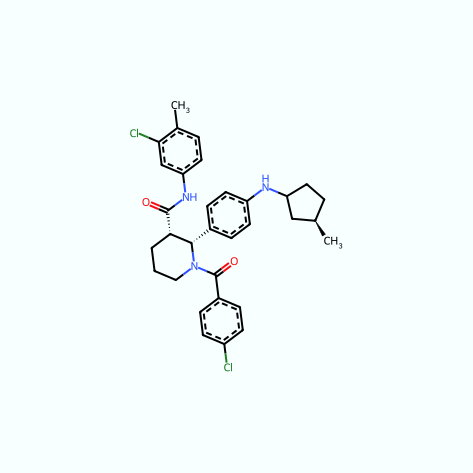 Cc1ccc(NC(=O)[C@H]2CCCN(C(=O)c3ccc(Cl)cc3)[C@H]2c2ccc(NC3CC[C@@H](C)C3)cc2)cc1Cl